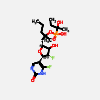 CCCC(C)(C[C@H]1O[C@@H](c2cnc(=O)[nH]c2F)[C@@H](F)C1O)OP(=O)(O)C(C)(O)CC